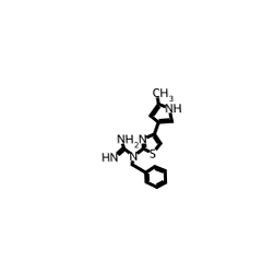 Cc1cc(-c2csc(N(Cc3ccccc3)C(=N)N)n2)c[nH]1